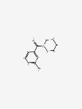 O=C(c1[c]ccc(Br)c1)N1CCCCC1